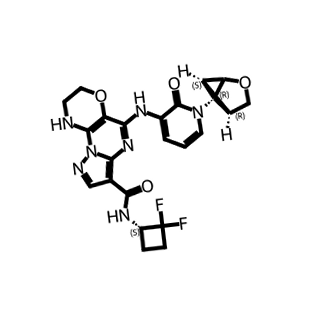 O=C(N[C@H]1CCC1(F)F)c1cnn2c3c(c(Nc4cccn([C@]56C7OC[C@@H]5[C@H]76)c4=O)nc12)OCCN3